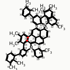 Cc1cccc(-c2ccc(N(C3=C4C=CC5=C6C(=CC=C(C=C3)C46)C(N(c3cccc(C(F)(F)F)c3)c3ccc(-c4cccc(C)c4C)cc3-c3cccc(C)c3C)C=C5)c3cccc(C(F)(F)F)c3)c(-c3cccc(C)c3C)c2)c1C